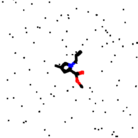 C=CCn1cc(C)cc1C(=O)OC